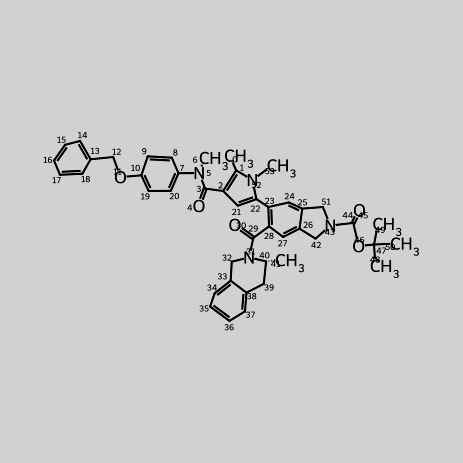 Cc1c(C(=O)N(C)c2ccc(OCc3ccccc3)cc2)cc(-c2cc3c(cc2C(=O)N2Cc4ccccc4C[C@H]2C)CN(C(=O)OC(C)(C)C)C3)n1C